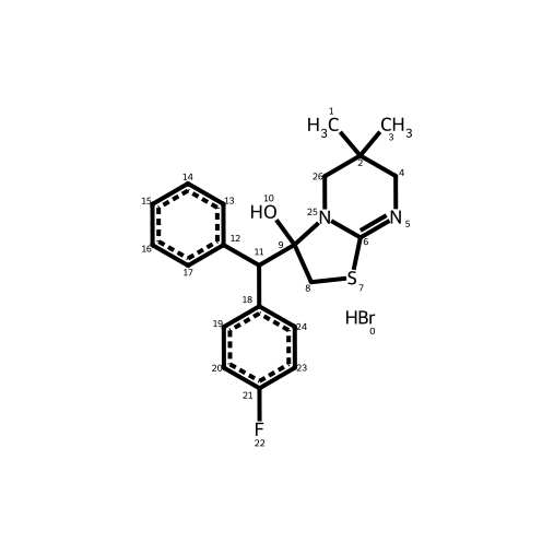 Br.CC1(C)CN=C2SCC(O)(C(c3ccccc3)c3ccc(F)cc3)N2C1